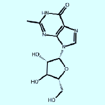 Cc1nc2c(ncn2[C@@H]2O[C@H](CO)C(O)[C@@H]2O)c(=O)[nH]1